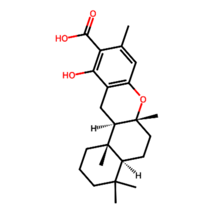 Cc1cc2c(c(O)c1C(=O)O)C[C@@H]1[C@@]3(C)CCCC(C)(C)[C@@H]3CC[C@@]1(C)O2